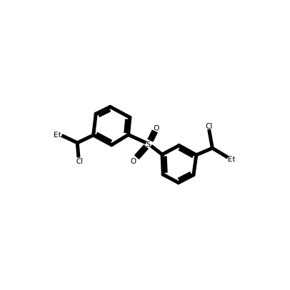 CCC(Cl)c1cccc(S(=O)(=O)c2cccc(C(Cl)CC)c2)c1